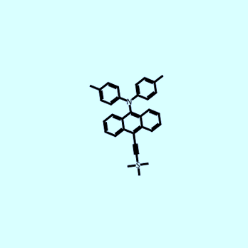 Cc1ccc(N(c2ccc(C)cc2)c2c3ccccc3c(C#CS(C)(C)C)c3ccccc23)cc1